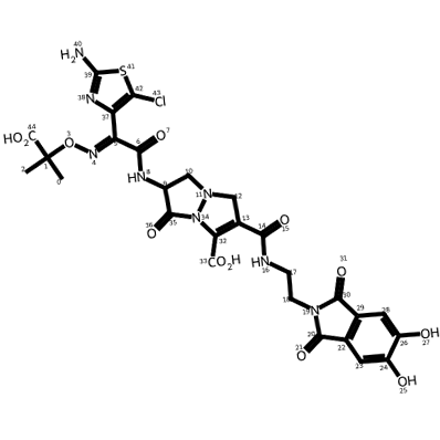 CC(C)(ON=C(C(=O)NC1CN2CC(C(=O)NCCN3C(=O)c4cc(O)c(O)cc4C3=O)=C(C(=O)O)N2C1=O)c1nc(N)sc1Cl)C(=O)O